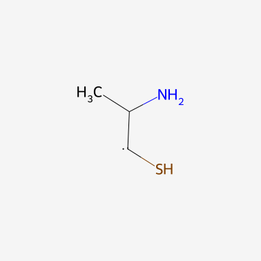 CC(N)[CH]S